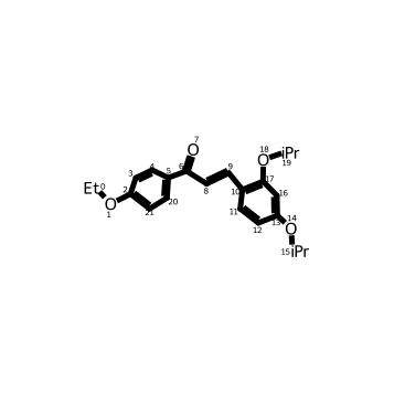 CCOc1ccc(C(=O)C=Cc2ccc(OC(C)C)cc2OC(C)C)cc1